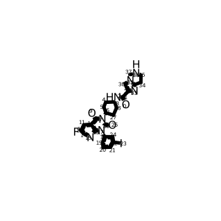 O=C(NC1CCC(n2c(=O)c3cc(F)cnc3n(-c3cccc(I)c3)c2=O)CC1)c1cn2c(n1)CCNC2